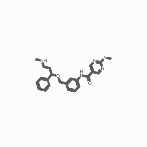 CNCCC(OCc1cccc(NC(=O)c2cnc(SC)nc2)c1)c1ccccc1